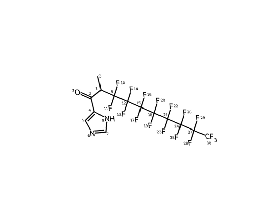 CC(C(=O)c1cnc[nH]1)C(F)(F)C(F)(F)C(F)(F)C(F)(F)C(F)(F)C(F)(F)C(F)(F)C(F)(F)F